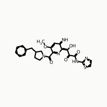 COC1=CC(=N)/C(=C(\O)C(=O)C(=O)Nc2nccs2)N=C1C(=O)N1CCC(Cc2ccccc2)C1